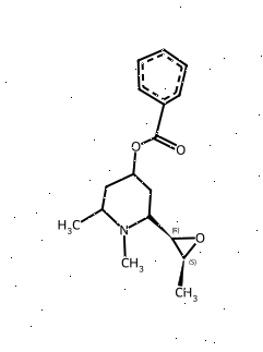 CC1CC(OC(=O)c2ccccc2)CC([C@H]2O[C@H]2C)N1C